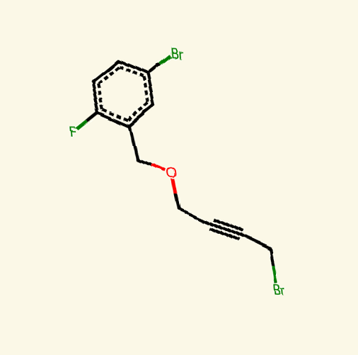 Fc1ccc(Br)cc1COCC#CCBr